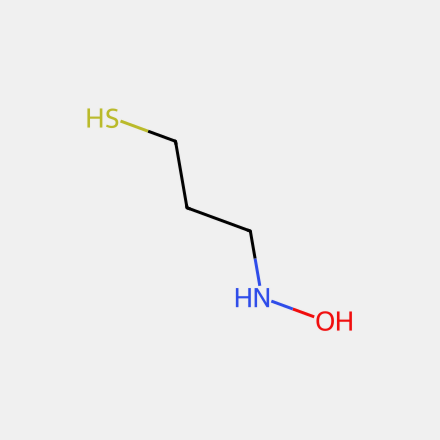 ONCCCS